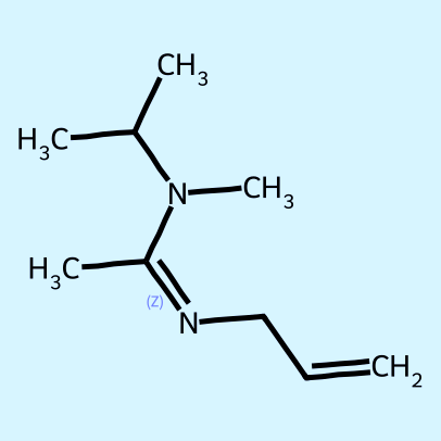 C=CC/N=C(/C)N(C)C(C)C